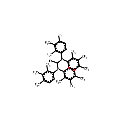 CCC(P(c1ccc(C(F)(F)F)c(C(F)(F)F)c1C(F)(F)F)c1ccc(C(F)(F)F)c(C(F)(F)F)c1C(F)(F)F)P(c1ccc(C(F)(F)F)c(C(F)(F)F)c1C(F)(F)F)c1ccc(C(F)(F)F)c(C(F)(F)F)c1C(F)(F)F